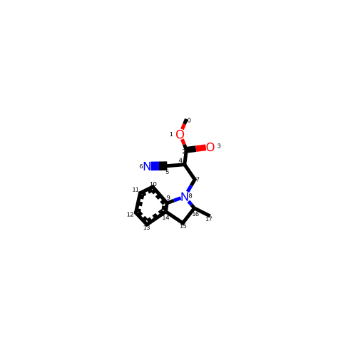 COC(=O)C(C#N)CN1c2ccccc2CC1C